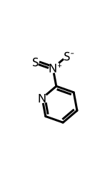 S=[N+]([S-])c1ccccn1